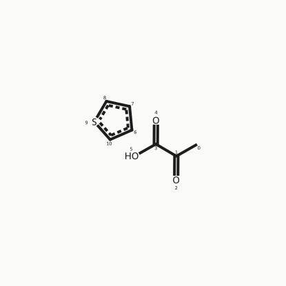 CC(=O)C(=O)O.c1ccsc1